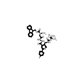 CN(CC(=O)NNC(=O)c1cc(-c2ccc(F)cc2)ncc1CNC(=O)OC(C)(C)C)C(=O)OCC1c2ccccc2-c2ccccc21